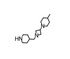 CC1CCN(C2CN(CC3CCNCC3)C2)CC1